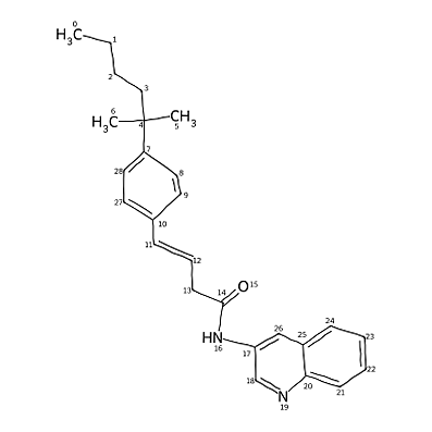 CCCCC(C)(C)c1ccc(C=CCC(=O)Nc2cnc3ccccc3c2)cc1